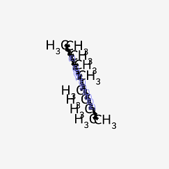 CC(/C=C/C=C(C)/C=C/C=C(\C)CCCC(C)C)=C\C=C\C=C(C)\C=C\C=C(/C)CC/C=C(\C)CCCC(C)C